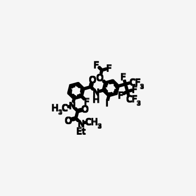 CCN(C)C(=O)C(=O)N(C)c1cccc(C(=O)Nc2c(I)cc(C(F)(C(F)(F)F)C(F)(F)C(F)(F)F)cc2OC(F)F)c1F